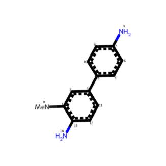 CNc1cc(-c2ccc(N)cc2)ccc1N